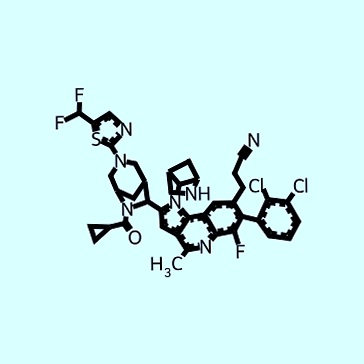 Cc1nc2c(F)c(-c3cccc(Cl)c3Cl)c(CCC#N)cc2c2c1cc(C1C3CC(CN(c4ncc(C(F)F)s4)C3)N1C(=O)C1CC1)n2C1C2CNC1C2